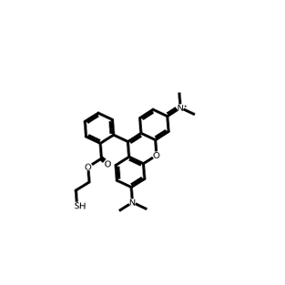 CN(C)c1ccc2c(-c3ccccc3C(=O)OCCS)c3ccc(=[N+](C)C)cc-3oc2c1